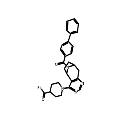 CCC(=O)C1CCN(c2ncnc3c2C2CCC(C3)N2C(=O)c2ccc(-c3ccccc3)cc2)CC1